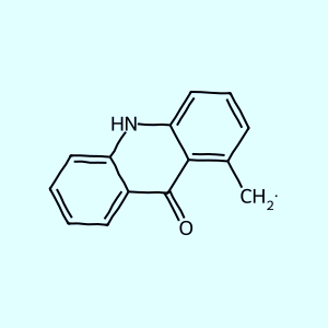 [CH2]c1cccc2[nH]c3ccccc3c(=O)c12